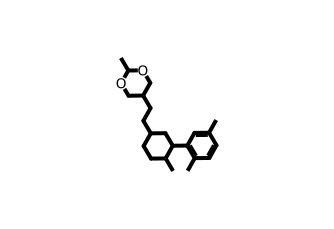 Cc1ccc(C)c(C2CC(CCC3COC(C)OC3)CCC2C)c1